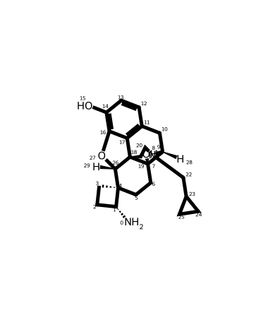 N[C@@H]1CC[C@]12CC[C@@]1(O)[C@H]3Cc4ccc(O)c5c4[C@@]1(CCN3CC1CC1)[C@H]2O5